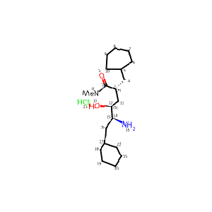 CNC(=O)[C@H](CC1CCCCC1)C[C@H](O)[C@@H](N)CC1CCCCC1.Cl